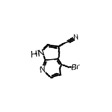 N#Cc1c[nH]c2nccc(Br)c12